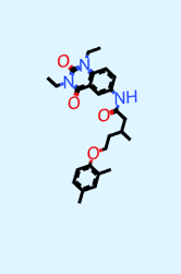 CCn1c(=O)c2cc(NC(=O)CC(C)CCOc3ccc(C)cc3C)ccc2n(CC)c1=O